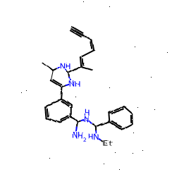 C#C/C=C\C=C(/C)C1NC(c2cccc(C(N)NC(NCC)c3ccccc3)c2)=CC(C)N1